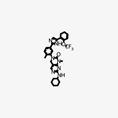 Cc1ccc(-c2ncc(C3=C(OC(F)(F)F)C=CCC3)[nH]2)cc1N1Cc2cnc(NC3CCCCC3)nc2N(C)C1=O